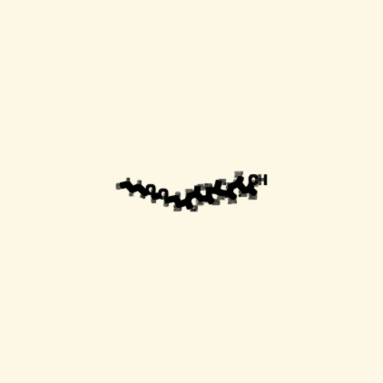 CCCCCOCOCCCC(C)CC(C)CC(C)CC(C)CC(C)CC(C)CC(C)O